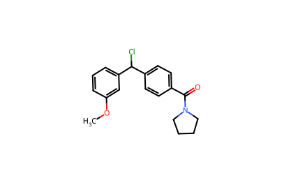 COc1cccc(C(Cl)c2ccc(C(=O)N3CCCC3)cc2)c1